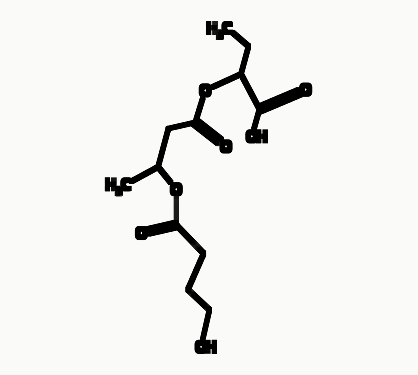 CCC(OC(=O)CC(C)OC(=O)CCCO)C(=O)O